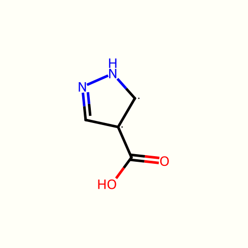 O=C(O)[C]1[CH]NN=C1